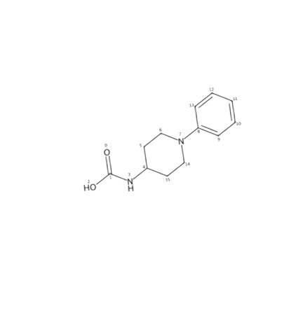 O=C(O)NC1CCN(c2ccccc2)CC1